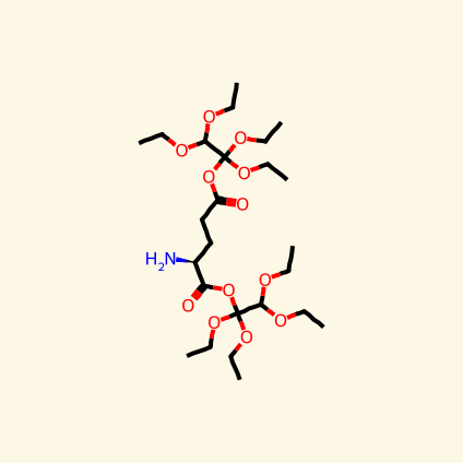 CCOC(OCC)C(OCC)(OCC)OC(=O)CC[C@H](N)C(=O)OC(OCC)(OCC)C(OCC)OCC